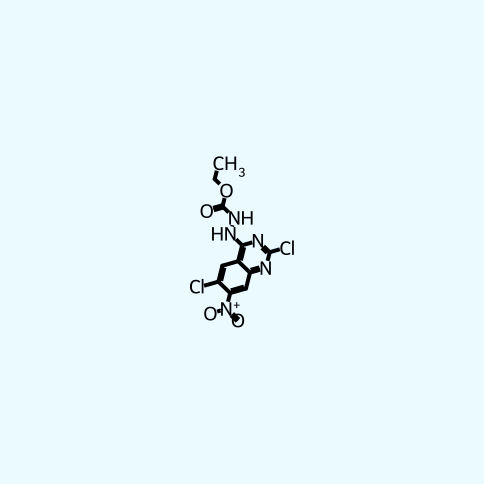 CCOC(=O)NNc1nc(Cl)nc2cc([N+](=O)[O-])c(Cl)cc12